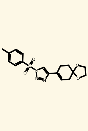 Cc1ccc(S(=O)(=O)n2cc(C3=CCC4(CC3)OCCO4)nn2)cc1